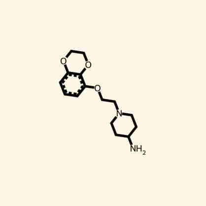 NC1CCN(CCOc2cccc3c2OCCO3)CC1